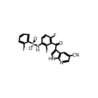 N#Cc1cnc2[nH]cc(C(=O)c3c(F)ccc(NS(=O)(=O)c4ccccc4F)c3F)c2c1